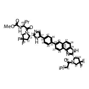 COC(=O)N[C@H](C(=O)N1CC(F)(F)C[C@H]1c1ncc(-c2ccc(-c3ccc4c(ccc5[nH]c([C@@H]6CC(F)(F)CN6C(=O)CC(C)C)nc54)c3)cc2)[nH]1)C(C)C